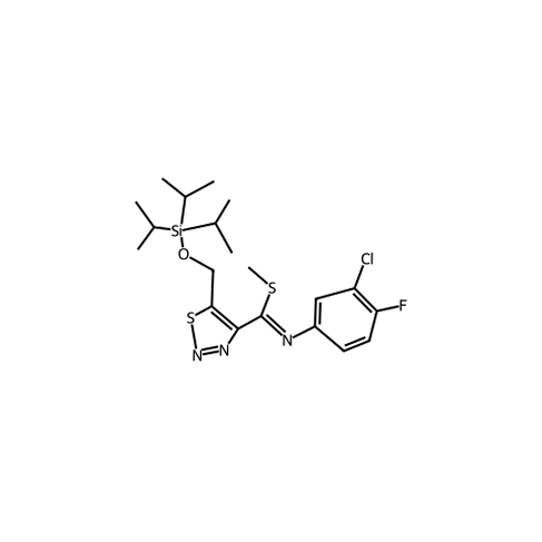 CSC(=Nc1ccc(F)c(Cl)c1)c1nnsc1CO[Si](C(C)C)(C(C)C)C(C)C